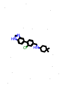 CC1(C)CCC(NCc2ccc(-c3ccc4[nH]cnc4c3)c(Cl)c2)CC1